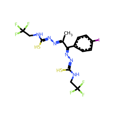 CC(=N\N=C(/S)NCC(F)(F)F)/C(=N/N=C(\S)NCC(F)(F)F)c1ccc(I)cc1